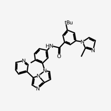 Cc1ccc(NC(=O)c2cc(-n3ccnc3C)cc(C(C)(C)C)c2)cc1-n1ccc2ncc(-c3cccnc3)n21